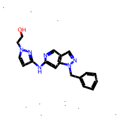 OCCn1ccc(Nc2cc3c(cn2)cnn3Cc2ccccc2)n1